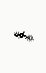 CC(C)(C)[Si](C)(C)OCc1cc(F)c(C2CC=NN2)cc1F